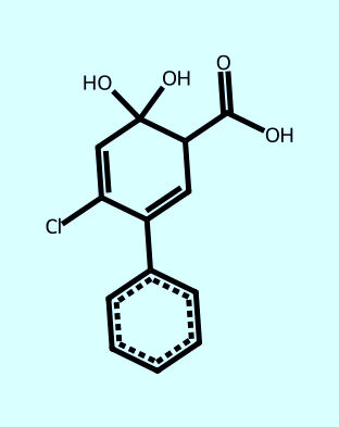 O=C(O)C1C=C(c2ccccc2)C(Cl)=CC1(O)O